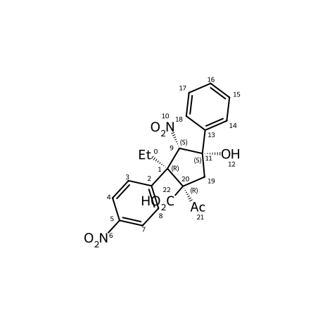 CC[C@]1(c2ccc([N+](=O)[O-])cc2)[C@H]([N+](=O)[O-])[C@@](O)(c2ccccc2)C[C@@]1(C(C)=O)C(=O)O